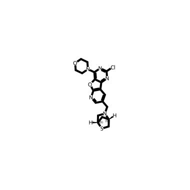 Clc1nc(N2CCOCC2)c2oc3ncc(CN4C[C@@H]5C[C@H]4CS5)cc3c2n1